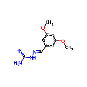 COc1cc(/C=N/NC(=N)N)cc(OC)c1